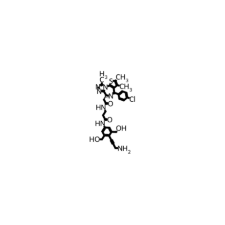 Cc1sc2c(c1C)C(c1ccc(Cl)cc1)=N[C@@H](CC(=O)NCCC(=O)Nc1cc(CO)c(C#CCN)c(CO)c1)c1nnc(C)n1-2